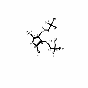 FC(F)(F)COc1c(Br)sc(Br)c1OCC(F)(F)F